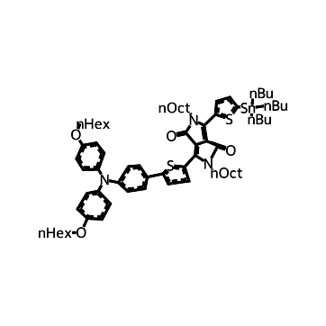 CCCCCCCCN1C(=O)C2=C(c3cc[c]([Sn]([CH2]CCC)([CH2]CCC)[CH2]CCC)s3)N(CCCCCCCC)C(=O)C2=C1c1ccc(-c2ccc(N(c3ccc(OCCCCCC)cc3)c3ccc(OCCCCCC)cc3)cc2)s1